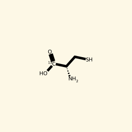 N[C@@H](CS)[13C](=O)O